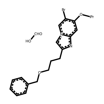 CC(C)Oc1cc2nc(CCCOCc3ccccc3)cn2cc1Br.O=CO